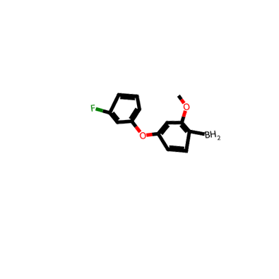 Bc1ccc(Oc2cccc(F)c2)cc1OC